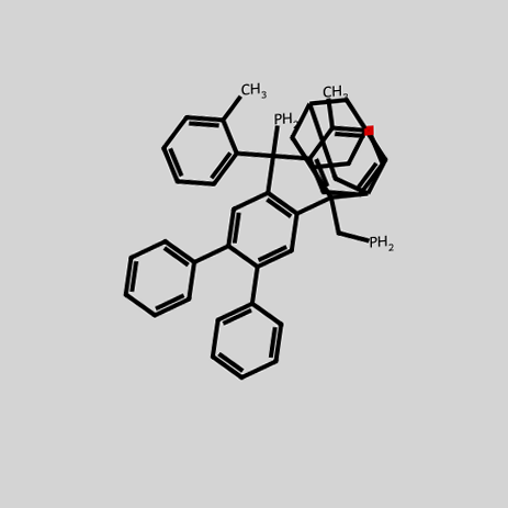 Cc1ccccc1C(P)(c1ccccc1C)c1cc(-c2ccccc2)c(-c2ccccc2)cc1C1(CP)C2CC3CC(C2)CC1C3